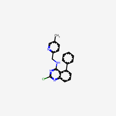 Cc1ccc(CNc2nc(Cl)nc3cccc(-c4ccccc4)c23)nc1